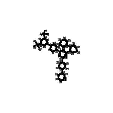 CC(C)(C)c1cc(-c2ccc(-c3nc(-c4ccc(-c5cccnc5)cc4)nc(-c4ccccc4-c4ccccc4)n3)cc2)cc(C(C)(C)C)c1